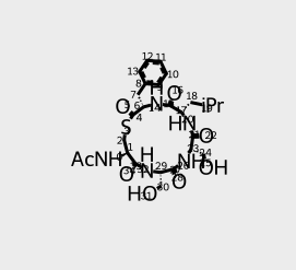 CC(=O)N[C@H]1CSC(=O)[C@H](Cc2ccccc2)NC(=O)[C@H](CC(C)C)NC(=O)[C@H](CO)NC(=O)[C@H](CO)NC1=O